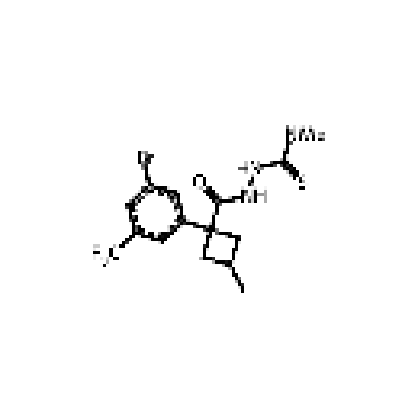 CNC(=S)NNC(=O)C1(c2cc(Br)cc(C(F)(F)F)c2)CC(C)C1